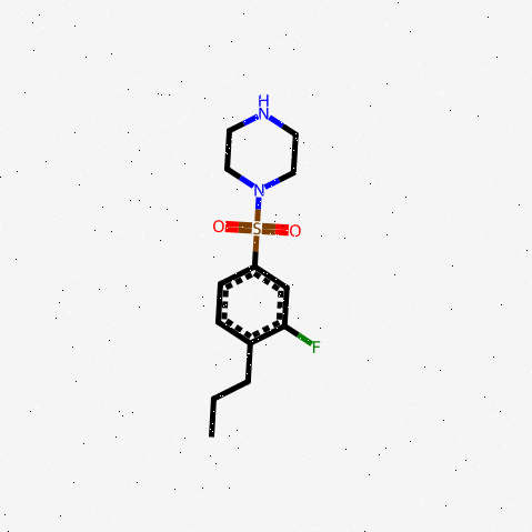 CCCc1ccc(S(=O)(=O)N2CCNCC2)cc1F